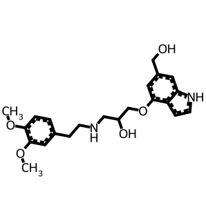 COc1ccc(CCNCC(O)COc2cc(CO)cc3[nH]ccc23)cc1OC